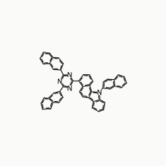 c1ccc2cc(-c3nc(-c4ccc5ccccc5c4)nc(-c4cccc5c4ccc4c6ccccc6n(-c6ccc7ccccc7c6)c54)n3)ccc2c1